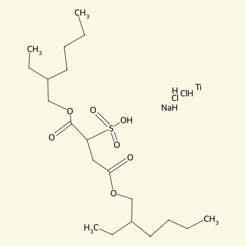 CCCCC(CC)COC(=O)CC(C(=O)OCC(CC)CCCC)S(=O)(=O)O.Cl.Cl.[NaH].[Ti]